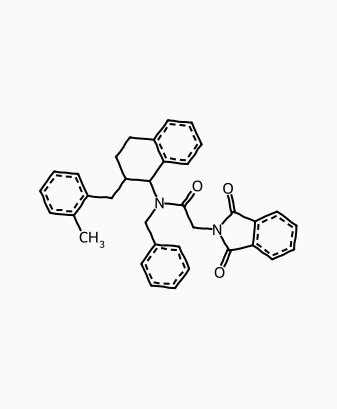 Cc1ccccc1CC1CCc2ccccc2C1N(Cc1ccccc1)C(=O)CN1C(=O)c2ccccc2C1=O